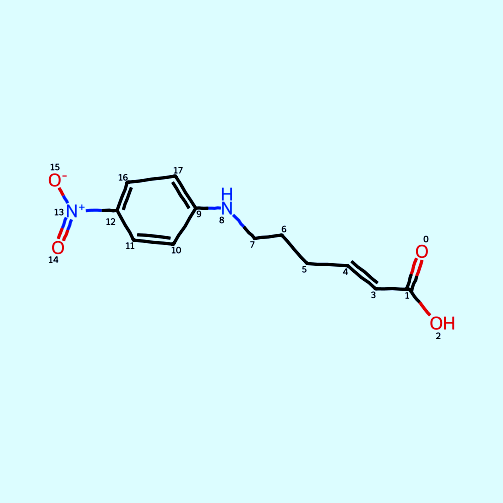 O=C(O)/C=C/CCCNc1ccc([N+](=O)[O-])cc1